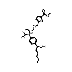 CCCCCC(O)c1ccc(N2C(=O)OC[C@@H]2COCc2ccc(C(=O)OC)s2)cc1